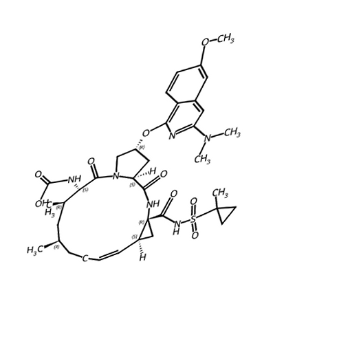 COc1ccc2c(O[C@@H]3C[C@H]4C(=O)N[C@]5(C(=O)NS(=O)(=O)C6(C)CC6)C[C@H]5C=CCC[C@@H](C)C[C@@H](C)[C@H](NC(=O)O)C(=O)N4C3)nc(N(C)C)cc2c1